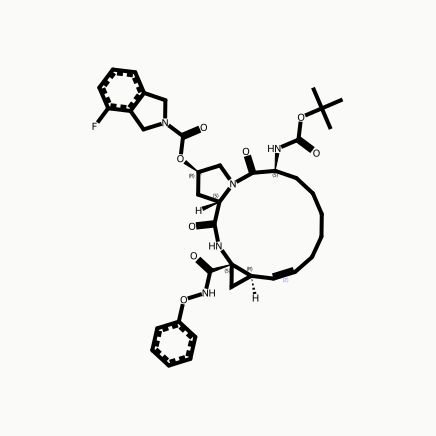 CC(C)(C)OC(=O)N[C@H]1CCCCC/C=C\[C@H]2C[C@]2(C(=O)NOc2ccccc2)NC(=O)[C@@H]2C[C@@H](OC(=O)N3Cc4cccc(F)c4C3)CN2C1=O